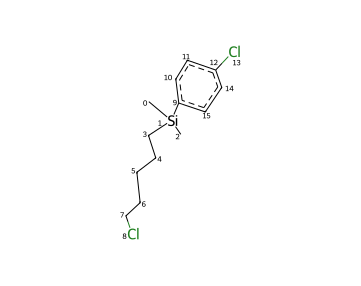 C[Si](C)(CCCCCCl)c1ccc(Cl)cc1